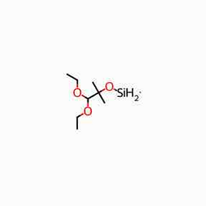 CCOC(OCC)C(C)(C)O[SiH2]